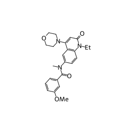 CCn1c(=O)cc(N2CCOCC2)c2cc(N(C)C(=O)c3cccc(OC)c3)ccc21